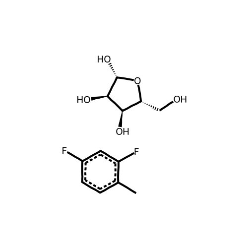 Cc1ccc(F)cc1F.OC[C@H]1O[C@@H](O)[C@H](O)[C@@H]1O